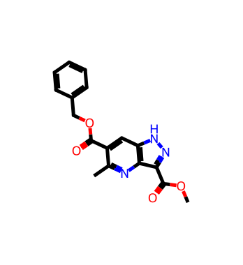 COC(=O)c1n[nH]c2cc(C(=O)OCc3ccccc3)c(C)nc12